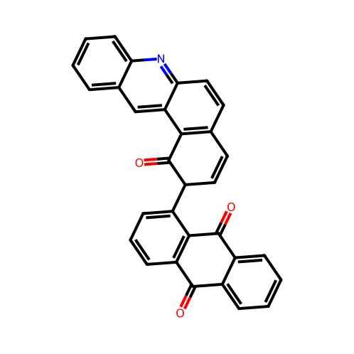 O=C1c2ccccc2C(=O)c2c1cccc2C1C=Cc2ccc3nc4ccccc4cc3c2C1=O